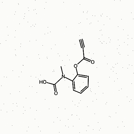 C#CC(=O)Oc1ccccc1N(C)C(=O)O